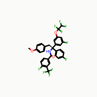 COc1ccc(C[C@](NC(=O)c2ccc(F)c(C(F)(F)F)c2)(c2ccc(F)cc2)c2cc(F)cc(OC(F)(F)C(F)F)c2)cc1